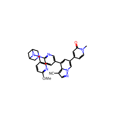 COc1ccc(CN2C3CC2CN(c2ccc(-c4cc(-c5ccn(C)c(=O)c5)cn5ncc(C#N)c45)cn2)C3)cn1